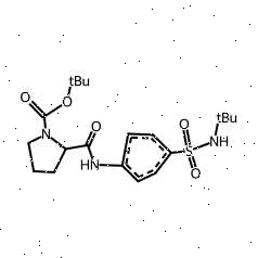 CC(C)(C)NS(=O)(=O)c1ccc(NC(=O)C2CCCN2C(=O)OC(C)(C)C)cc1